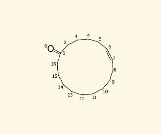 O=C1CCCCC=CCCCCCCCCC1